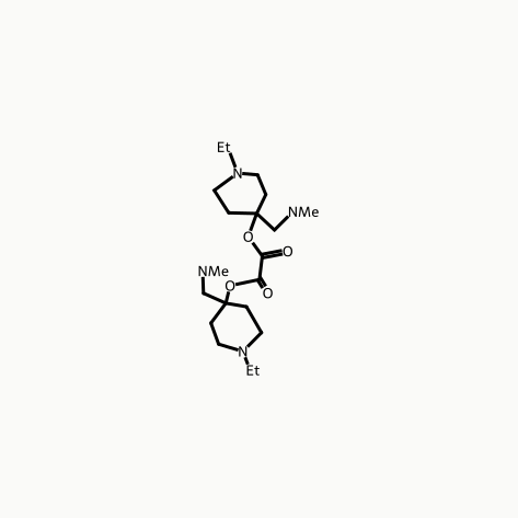 CCN1CCC(CNC)(OC(=O)C(=O)OC2(CNC)CCN(CC)CC2)CC1